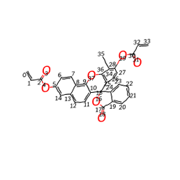 C=CC(=O)Oc1ccc2c3c(ccc2c1)C1(OC(=O)c2ccccc21)c1ccc(OC(=O)C=C)c(C)c1O3